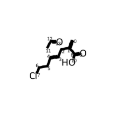 C=C(CC=CCCCl)C(=O)O.CC=O